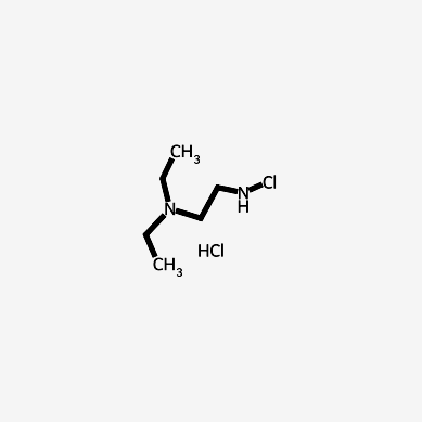 CCN(CC)CCNCl.Cl